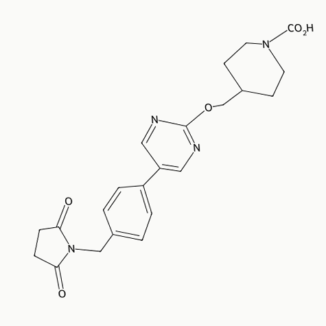 O=C(O)N1CCC(COc2ncc(-c3ccc(CN4C(=O)CCC4=O)cc3)cn2)CC1